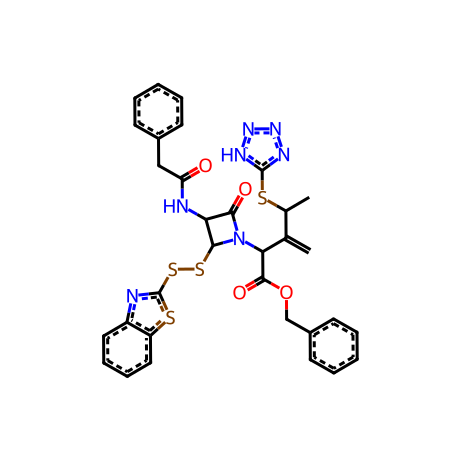 C=C(C(C)Sc1nnn[nH]1)C(C(=O)OCc1ccccc1)N1C(=O)C(NC(=O)Cc2ccccc2)C1SSc1nc2ccccc2s1